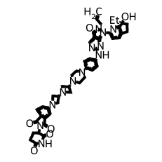 C=CCn1c(=O)c2cnc(Nc3ccc(N4CCN(C5CN(C6CN(c7ccc8c(c7)C(=O)N(C7CCC(=O)NC7=O)C8=O)C6)C5)CC4)cc3)nc2n1-c1ccc2c(n1)[C@@](O)(CC)CC2